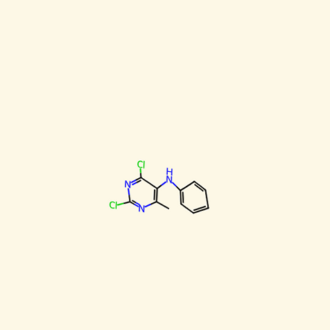 Cc1nc(Cl)nc(Cl)c1Nc1ccccc1